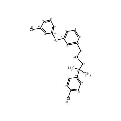 CC(C)(COCc1cccc(Oc2cccc(Cl)c2)c1)c1ccc(Cl)cc1